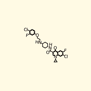 O=C(N[C@H]1CC[C@H](NCCOc2ccc(Cl)c(F)c2)CC1)c1cn(C2CC2)c2cc(Cl)c(F)cc2c1=O